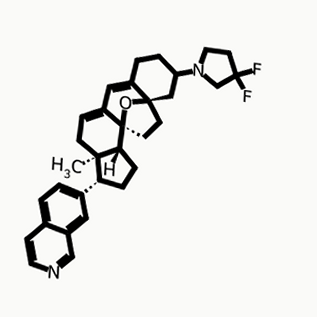 C[C@]12CC=C3C=C4CCC(N5CCC(F)(F)C5)C[C@]45CC[C@]3(O5)[C@@H]1CC[C@@H]2c1ccc2ccncc2c1